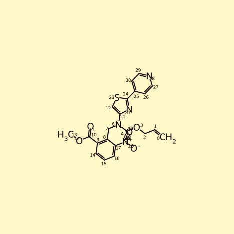 C=CCOC(=O)N(Cc1c(C(=O)OC)cccc1[N+](=O)[O-])c1csc(-c2ccncc2)n1